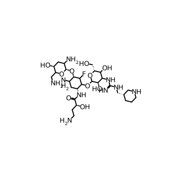 N=C(NC[C@H]1CCCNC1)NC1C(O)[C@@H](CO)OC(OC2C(F)[C@H](O[C@H]3OC(CN)[C@@H](O)CC3N)C(N)C[C@H]2NC(=O)[C@@H](O)CCN)[C@@H]1O